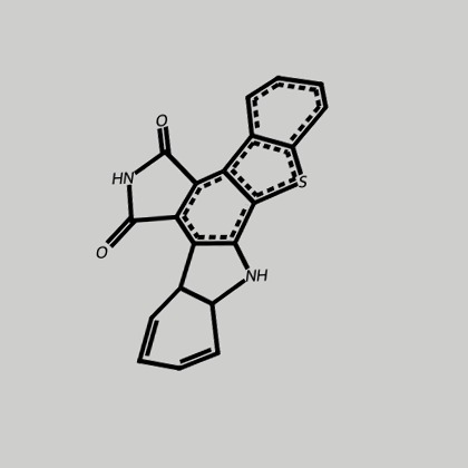 O=C1NC(=O)c2c1c1c(c3sc4ccccc4c23)NC2C=CC=CC12